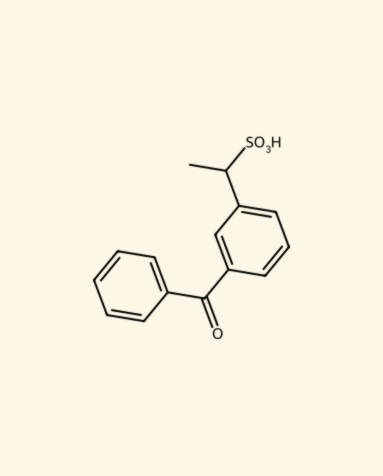 CC(c1cccc(C(=O)c2ccccc2)c1)S(=O)(=O)O